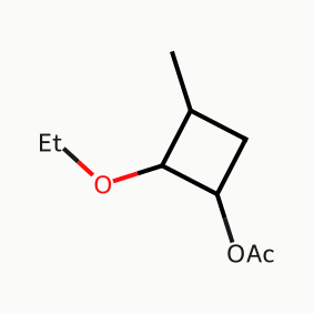 CCOC1C(C)CC1OC(C)=O